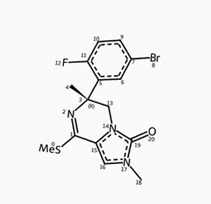 CSC1=N[C@](C)(c2cc(Br)ccc2F)Cn2c1cn(C)c2=O